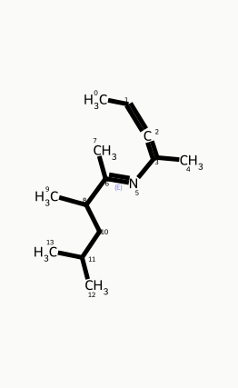 CC=C=C(C)/N=C(\C)C(C)CC(C)C